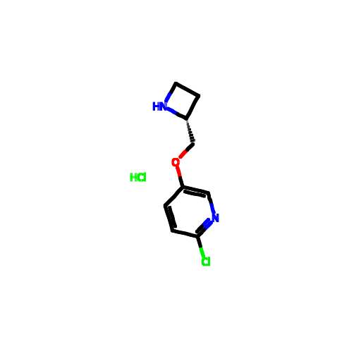 Cl.Clc1ccc(OC[C@H]2CCN2)cn1